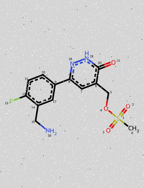 CS(=O)(=O)OCc1cc(-c2ccc(F)c(CN)c2)n[nH]c1=O